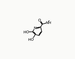 CNC(=O)c1ccc(O)c(O)n1